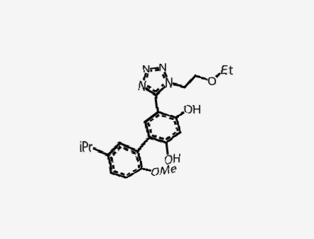 CCOCCn1nnnc1-c1cc(-c2cc(C(C)C)ccc2OC)c(O)cc1O